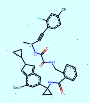 COc1cc(C2(NC(=O)c3ccccc3CNC(=O)C(=O)N[C@@H](C)C#Cc3ccc(C#N)cc3F)CC2)cc2c1=CC(C1CC1)C=2